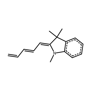 C=C/C=C/C=C1\N(C)c2ccccc2C1(C)C